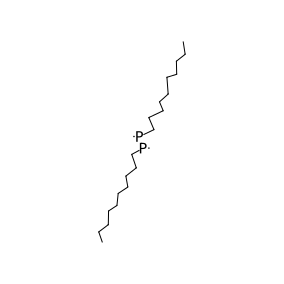 CCCCCCCCCC[P][P]CCCCCCCCCC